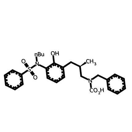 CCCCN(c1cccc(C[C@@H](C)CN(Cc2ccccc2)C(=O)O)c1O)S(=O)(=O)c1ccccc1